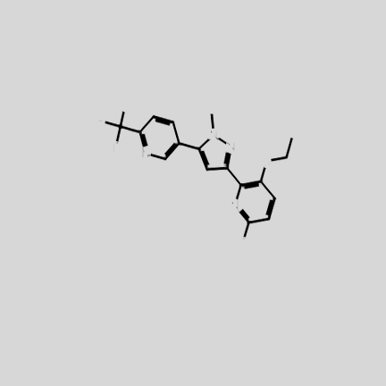 CCSc1ccc(Cl)nc1-c1cc(-c2ccc(C(F)(F)F)nc2)n(C)n1